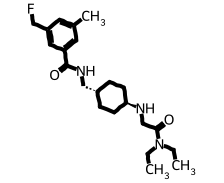 CCN(CC)C(=O)CN[C@H]1CC[C@H](CNC(=O)c2cc(C)cc(CF)c2)CC1